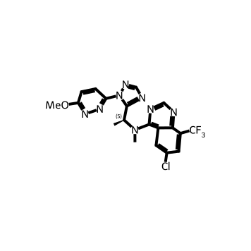 COc1ccc(-n2ncnc2[C@H](C)N(C)c2ncnc3c(C(F)(F)F)cc(Cl)cc23)nn1